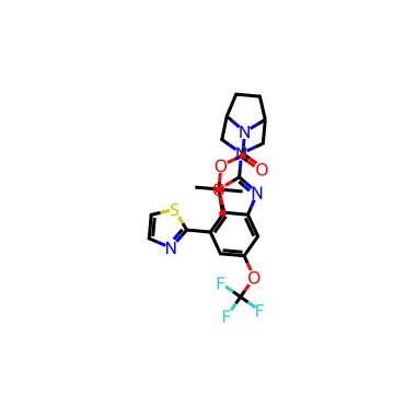 CC(C)(C)OC(=O)N1C2CCC1CN(c1nc3cc(OC(F)(F)F)cc(-c4nccs4)c3o1)C2